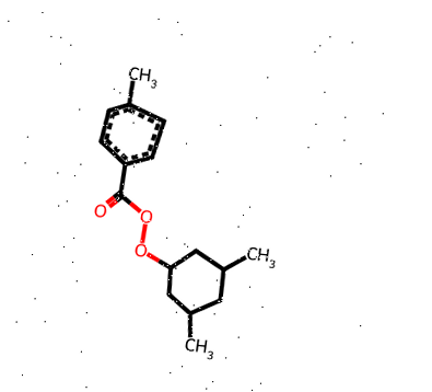 Cc1ccc(C(=O)OO[C]2CC(C)CC(C)C2)cc1